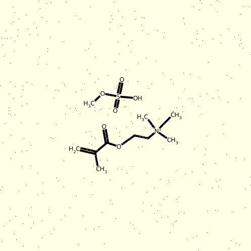 C=C(C)C(=O)OCC[N+](C)(C)C.COS(=O)(=O)O